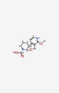 COc1nccc2c1COC21CCCN(C(=O)O)C1